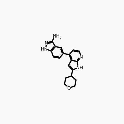 Nc1n[nH]c2ccc(-c3ccnc4[nH]c(C5CCOCC5)cc34)cc12